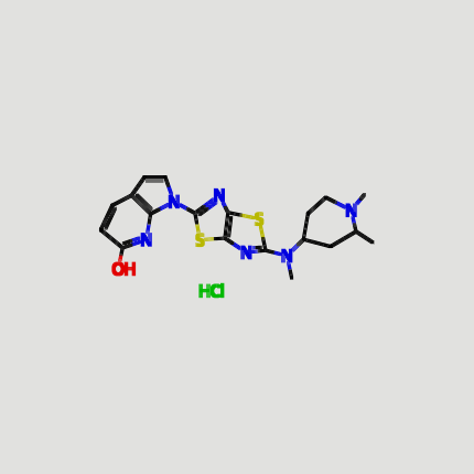 CC1CC(N(C)c2nc3sc(-n4ccc5ccc(O)nc54)nc3s2)CCN1C.Cl